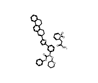 NC(=O)CC1C=CC=CS1(=O)=O.O=C(Oc1ccccc1)N(OC1CCCCO1)c1cccc(-c2ccc(C3=Cc4ccc5c(c4CC3)CCc3ccccc3-5)s2)c1